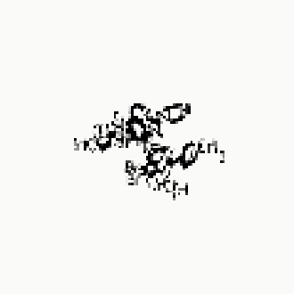 Brc1c(Br)c2c3c(nc(N4CCNCC4)n3CCC2)c1Br.Cc1c(Br)c(Br)c2c3c1nc(C1CCN(C)CC1)n3CCC2.Cl.O=C(O)/C=C\C(=O)O